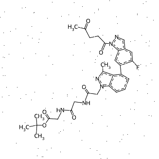 CC(=O)CCC(=O)n1ncc2cc(F)c(-c3cccc4c3c(C)nn4CC(=O)NCC(=O)NCC(=O)OC(C)(C)C)cc21